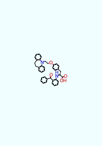 O=C(c1ccccc1)c1ccccc1N[C@@H](Cc1ccc(OCCN2c3ccccc3CCc3ccccc32)cc1)C(=O)O